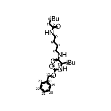 CCC(C)[CH]C(=O)NCCCCNC(=O)C(NC(=O)OCc1ccccc1)C(C)CC